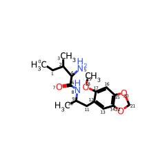 CCC(C)C(N)C(=O)NC(C)Cc1cc2c(cc1OC)OCO2